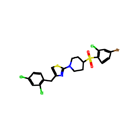 O=S(=O)(c1ccc(Br)cc1Cl)C1CCN(c2nc(Cc3ccc(Cl)cc3Cl)cs2)CC1